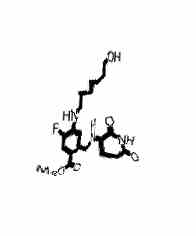 COC(=O)c1cc(F)c(NCCCCCCO)cc1CNC1CCC(=O)NC1=O